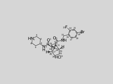 Cl.O=C(NC1CCNCC1)[C@H]1[C@H](C(=O)NCc2ccc(Br)cc2F)[C@@H]2CC[C@H]1C21CC1